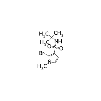 Cn1ccc(S(=O)(=O)NC(C)(C)C)c1Br